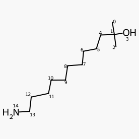 CC(C)(O)CCCCCCCCCCN